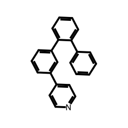 c1ccc(-c2ccccc2-c2cccc(-c3ccncc3)c2)cc1